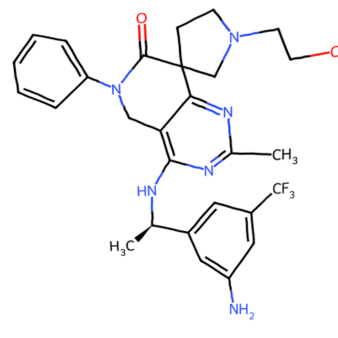 Cc1nc(N[C@H](C)c2cc(N)cc(C(F)(F)F)c2)c2c(n1)C1(CCN(CCO)C1)C(=O)N(c1ccccc1)C2